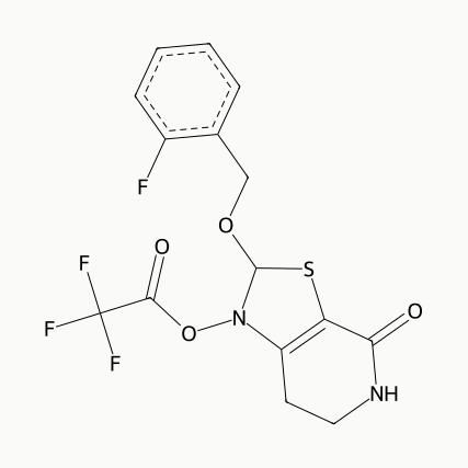 O=C1NCCC2=C1SC(OCc1ccccc1F)N2OC(=O)C(F)(F)F